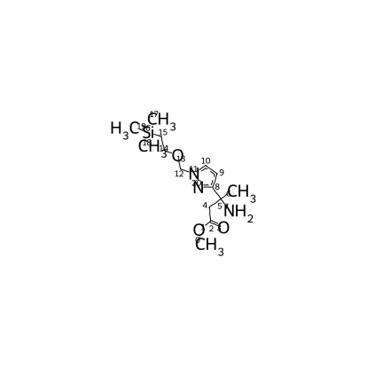 COC(=O)CC(C)(N)c1ccn(COCC[Si](C)(C)C)n1